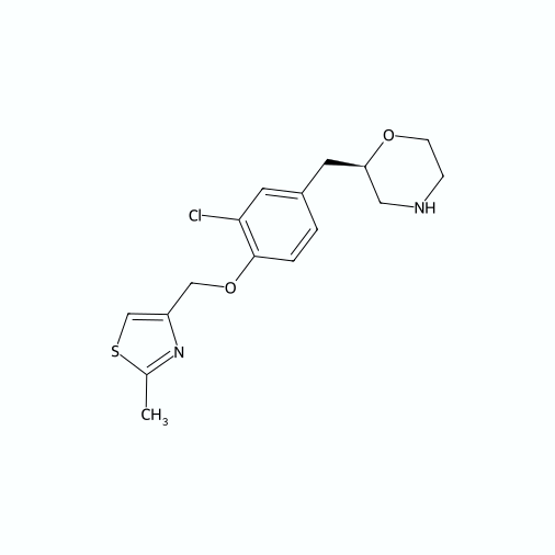 Cc1nc(COc2ccc(C[C@@H]3CNCCO3)cc2Cl)cs1